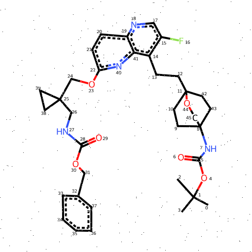 CC(C)(C)OC(=O)NC12CCC(CCc3c(F)cnc4ccc(OCC5(CNC(=O)OCc6ccccc6)CC5)nc34)(CC1)OC2